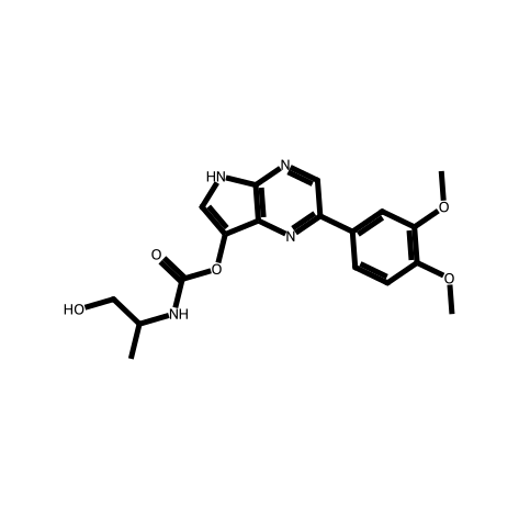 COc1ccc(-c2cnc3[nH]cc(OC(=O)NC(C)CO)c3n2)cc1OC